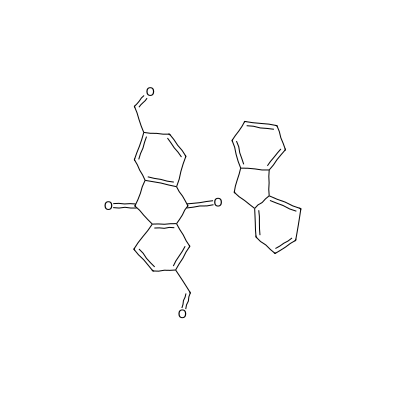 O=Cc1ccc2c(c1)C(=O)c1ccc(C=O)cc1C2=O.c1ccc2c(c1)Cc1ccccc1-2